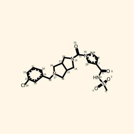 CS(=O)(=O)NC(=O)c1cnn(C(=O)N2CC3CN(Cc4cccc(Cl)c4)CC3C2)c1